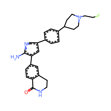 Nc1ncc(-c2ccc(C3CCN(CCF)CC3)cc2)cc1-c1ccc2c(c1)CCNC2=O